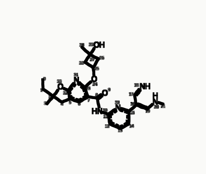 CCC1(C)Cc2cc(C(=O)Nc3cccc(/C(C=N)=C/NC)n3)c(OC3CC(C)(O)C3)nc2O1